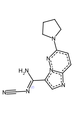 N#C/N=C(\N)c1cnc2ccc(N3CCCC3)nn12